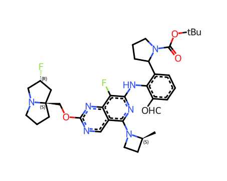 C[C@H]1CCN1c1nc(Nc2c(C=O)cccc2C2CCCN2C(=O)OC(C)(C)C)c(F)c2nc(OC[C@@]34CCCN3C[C@H](F)C4)ncc12